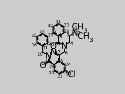 CN(C)CCN(Cc1nn(Cc2ccccc2)c(=O)c2ccc(Cl)cc12)C(=O)c1ccccc1